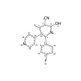 Cc1c(C#N)c(O)nc(-c2ccc(F)cc2)c1-c1ccncc1